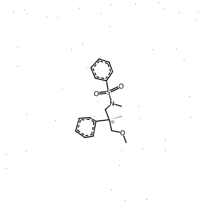 COC[C@](C)(CN(C)S(=O)(=O)c1ccccc1)c1ccccc1